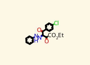 CCOC(=O)C(=O)/C(=N/Nc1ccccc1)C(=O)c1ccc(Cl)cc1